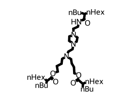 CCCCCCC(CCCC)C(=O)NCCN1CCN(CCN(CCCCOC(=O)C(CCCC)CCCCCC)CCCCOC(=O)C(CCCC)CCCCCC)CC1